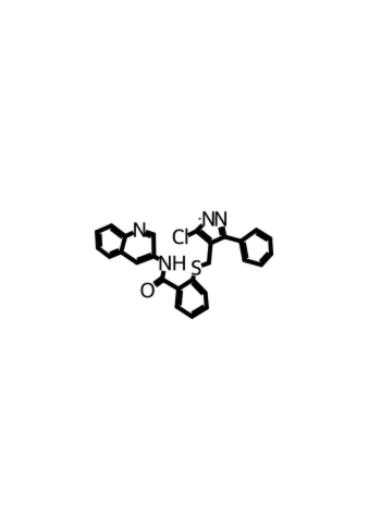 O=C(Nc1cnc2ccccc2c1)c1ccccc1SCC1=C(Cl)[N]N=C1c1ccccc1